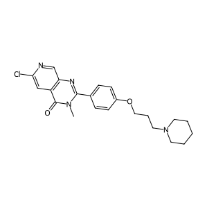 Cn1c(-c2ccc(OCCCN3CCCCC3)cc2)nc2cnc(Cl)cc2c1=O